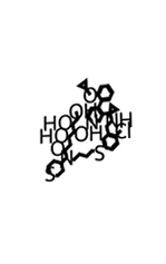 O=C(CC(O)C(O)C(O)CO)N(CCCCSc1ccc(Cl)c(CNC2(c3cnccc3-c3ccccc3OC3CC3)CC2)c1)C1CCSCC1